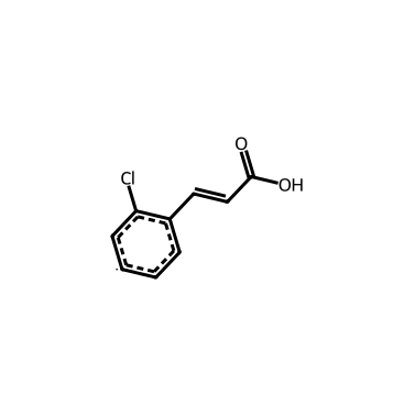 O=C(O)/C=C/c1cc[c]cc1Cl